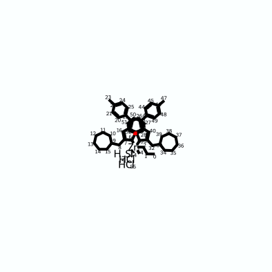 CC[CH2][Zr]([CH3])(=[SiH2])([CH]1C(CC2CCCCCC2)=Cc2c(-c3ccc(C)cc3)cccc21)[CH]1C(CC2CCCCCC2)=Cc2c(-c3ccc(C)cc3)cccc21.Cl.Cl